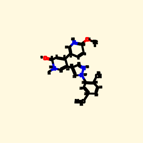 CCOc1ccc(-c2cc(=O)n(C)cc2-c2cnn(-c3cc(OC)ccc3C#N)c2)cn1